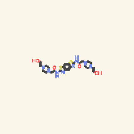 O=C(CN1CCN(CCO)CC1)Nc1nc2cc3nc(NC(=O)CN4CCN(CCO)CC4)sc3cc2s1